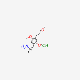 COCCCc1cc(OC)c(C[C@@H](C)N)cc1OC.Cl